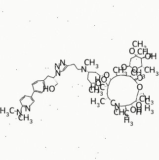 CC[C@H]1OC(=O)[C@H](C)[C@@H](O[C@H]2C[C@@](C)(OC)[C@@H](O)[C@H](C)O2)[C@H](C)[C@@H](O[C@H]2C[C@@H](N(C)CCc3cn([C@H](CO)Cc4ccc(-c5ccc(N(C)C)nc5)cc4)nn3)C[C@@H](C)O2)[C@](C)(O)C[C@@H](C)CN(C)[C@H](C)[C@@H](O)[C@]1(C)O